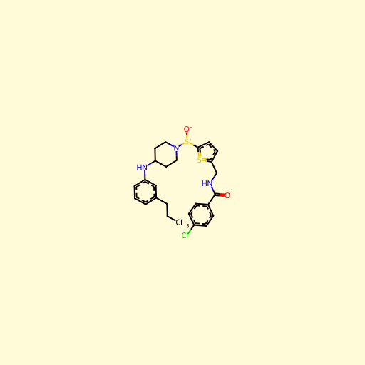 CCCc1cccc(NC2CCN([S+]([O-])c3ccc(CNC(=O)c4ccc(Cl)cc4)s3)CC2)c1